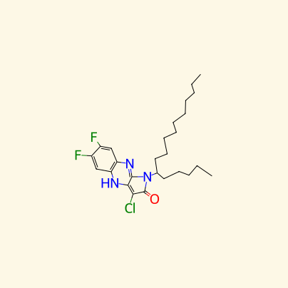 CCCCCCCCCCC(CCCCC)n1c2nc3cc(F)c(F)cc3[nH]c-2c(Cl)c1=O